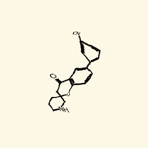 [C-]#[N+]c1cccc(-c2ccc3c(c2)C(=O)CC2(CCCNC2)O3)c1